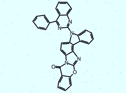 O=c1c2ccccc2oc2nc3c4c5ccccc5n(-c5nc(-c6ccccc6)c6ccccc6n5)c4ccc3n12